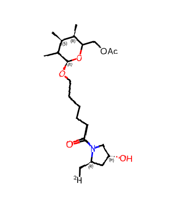 [2H]C[C@@H]1C[C@@H](O)CN1C(=O)CCCCCO[C@@H]1OC(COC(C)=O)[C@H](C)[C@H](C)C1C